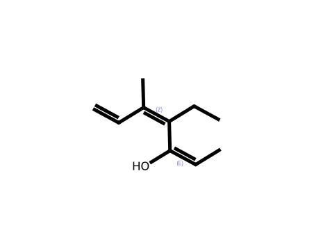 C=C/C(C)=C(CC)\C(O)=C/C